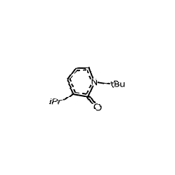 CC(C)c1cccn(C(C)(C)C)c1=O